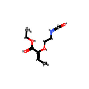 CC=C(OCCN=C=O)C(=O)OCC